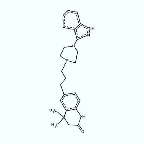 CC1(C)CC(=O)Nc2ccc(CCCN3CCN(c4n[nH]c5ccccc45)CC3)cc21